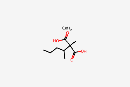 CCCC(C)C(C)(C(=O)O)C(=O)O.[CaH2]